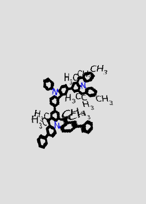 Cc1ccc2c(c1)C(C)(C)c1cc(-c3ccc4c(c3)c3cc(-c5cc6c7c(c5)C(C)(C)c5cc(-c8ccccc8)ccc5N7c5ccc(-c7ccccc7)cc5C6(C)C)ccc3n4-c3ccccc3)cc3c1N2c1ccc(C)cc1C3(C)C